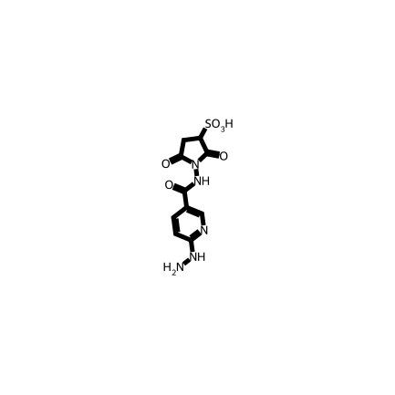 NNc1ccc(C(=O)NN2C(=O)CC(S(=O)(=O)O)C2=O)cn1